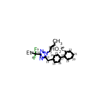 CC=CCn1nc(C(F)(F)CC)nc1Cc1ccc(-c2ccccc2C(=O)O)cc1